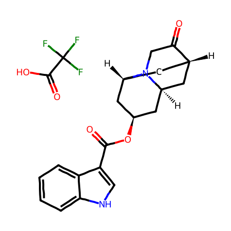 O=C(O)C(F)(F)F.O=C(O[C@@H]1C[C@@H]2C[C@@H]3C[C@H](C1)N2CC3=O)c1c[nH]c2ccccc12